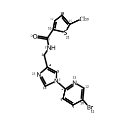 O=C(NCc1cn(-c2ccc(Br)cn2)cn1)c1ccc(Cl)s1